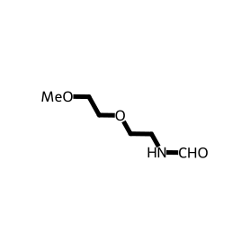 COCCOCCNC=O